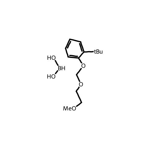 COCCOCOc1ccccc1C(C)(C)C.OBO